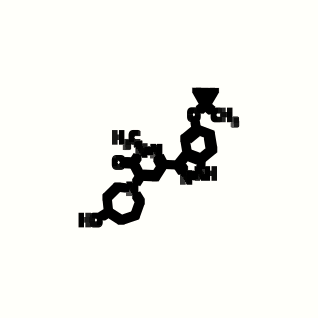 Cn1nc(-c2n[nH]c3ccc(OC4(C)CC4)cc23)cc(N2CCCC(O)CC2)c1=O